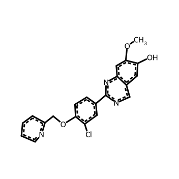 COc1cc2nc(-c3ccc(OCc4ccccn4)c(Cl)c3)ncc2cc1O